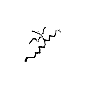 CCCCCCCC(CCCN)[Si](OCC)(OCC)OCC